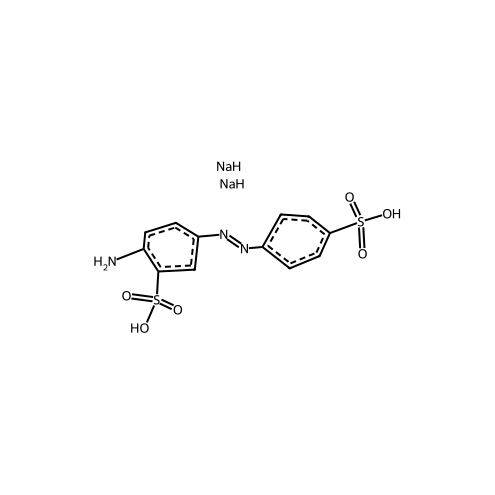 Nc1ccc(/N=N/c2ccc(S(=O)(=O)O)cc2)cc1S(=O)(=O)O.[NaH].[NaH]